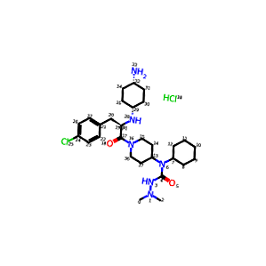 CN(C)NC(=O)N(C1CCCCC1)C1CCN(C(=O)[C@@H](Cc2ccc(Cl)cc2)N[C@H]2CC[C@@H](N)CC2)CC1.Cl